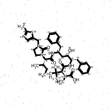 CCC(C)[C@@H](C(=O)N[C@@H](Cc1ccccc1)C[C@H](O)[C@H](Cc1ccccc1)NC(=O)[C@@H](N(C)C(=O)O)C(C)(C)C)N1CCN(Cc2cnc(C)s2)C1=O